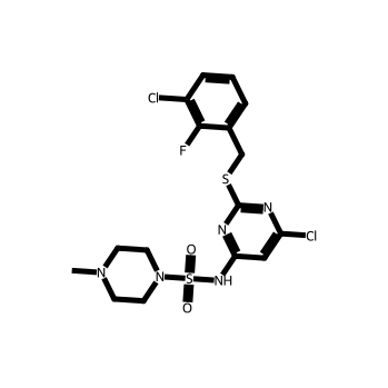 CN1CCN(S(=O)(=O)Nc2cc(Cl)nc(SCc3cccc(Cl)c3F)n2)CC1